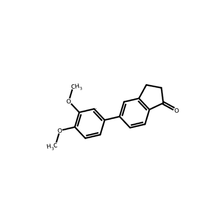 COc1[c]c(-c2ccc3c(c2)CCC3=O)ccc1OC